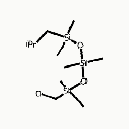 CC(C)C[Si](C)(C)O[Si](C)(C)O[Si](C)(C)CCl